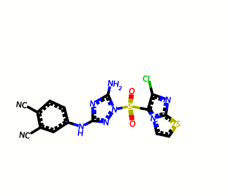 N#Cc1ccc(Nc2nc(N)n(S(=O)(=O)c3c(Cl)nc4sccn34)n2)cc1C#N